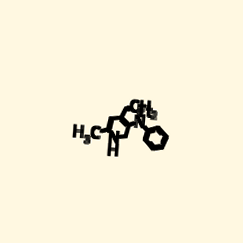 C=CC1=C(N(CC)c2ccccc2)CNC(C)=C1